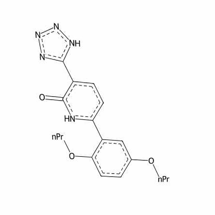 CCCOc1ccc(OCCC)c(-c2ccc(-c3nnn[nH]3)c(=O)[nH]2)c1